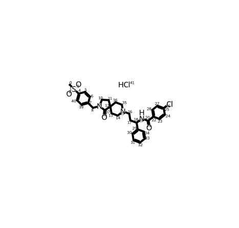 CS(=O)(=O)c1ccc(CN2CCC3(CCN(CCC(NC(=O)c4ccc(Cl)cc4)c4ccccc4)CC3)C2=O)cc1.Cl